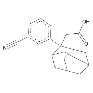 N#Cc1cccc(C2(CC(=O)O)C3CC4CC(C3)CC2C4)c1